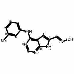 O/N=C/c1cc2c(Nc3cccc(Cl)c3)ncnc2[nH]1